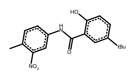 Cc1ccc(NC(=O)c2cc(C(C)(C)C)ccc2O)cc1[N+](=O)[O-]